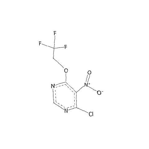 O=[N+]([O-])c1c(Cl)ncnc1OCC(F)(F)F